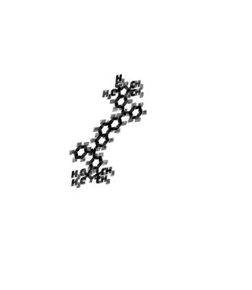 CC1(C)CC(C)(C)c2cc(N(c3ccccc3)c3ccc4c(ccc5cc(N(c6ccccc6)c6ccc7c(c6)C(C)(C)CC7(C)C)ccc54)c3)ccc21